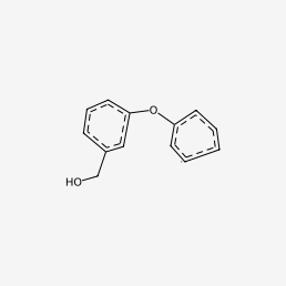 OCc1cccc(Oc2c[c]ccc2)c1